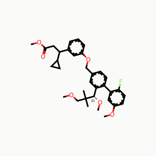 COCC(C)(C)[C@@H](OC)c1cc(COc2cccc(C(CC(=O)OC)C3CC3)c2)ccc1-c1cc(OC)ccc1F